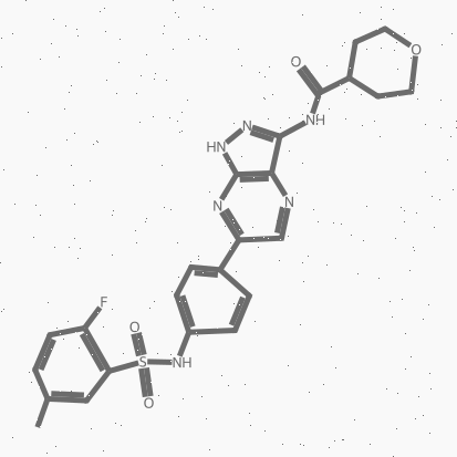 Cc1ccc(F)c(S(=O)(=O)Nc2ccc(-c3cnc4c(NC(=O)C5CCOCC5)n[nH]c4n3)cc2)c1